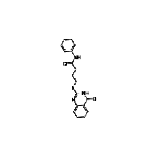 O=C(CCCSc1nc2ccccc2c(=O)[nH]1)Nc1ccccc1